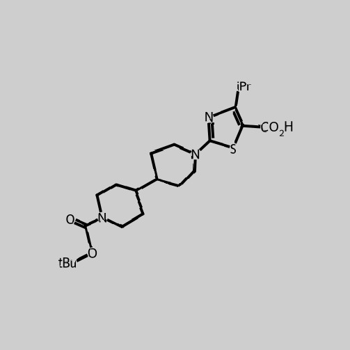 CC(C)c1nc(N2CCC(C3CCN(C(=O)OC(C)(C)C)CC3)CC2)sc1C(=O)O